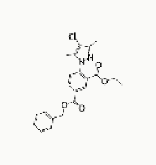 CCOC(=O)c1cc(C(=O)OCc2ccccc2)ccc1-n1nc(C)c(Cl)c1C